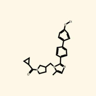 CCOc1ccc(-c2ccc(-c3ncc(C)n3CC3CCN(C(=O)C4CC4)C3)cc2)cc1